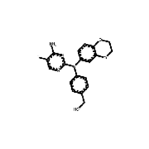 Nc1nc(N(c2ccc(CO)cc2)c2ccc3c(c2)OCCO3)ncc1F